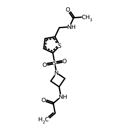 C=CC(=O)NC1CN(S(=O)(=O)c2ccc(CNC(C)=O)s2)C1